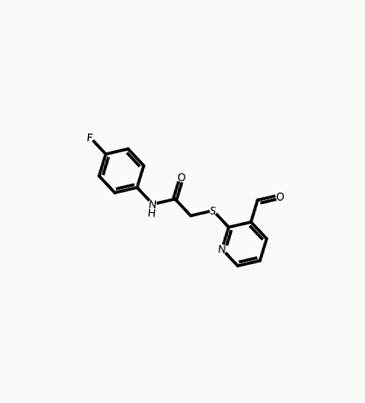 O=Cc1cccnc1SCC(=O)Nc1ccc(F)cc1